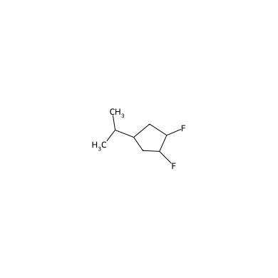 CC(C)C1CC(F)C(F)C1